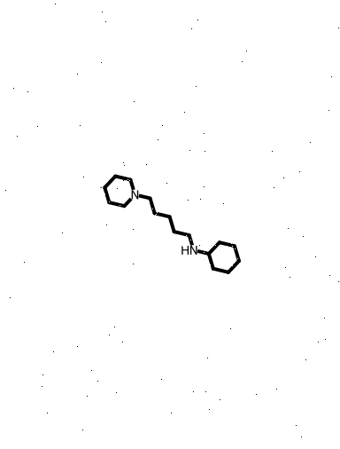 [CH]1CCN(CCCCCNC2CCCCC2)CC1